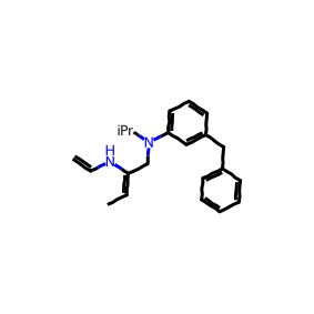 C=CN/C(=C\C)CN(c1cccc(Cc2ccccc2)c1)C(C)C